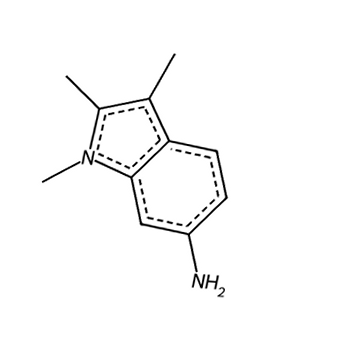 Cc1c(C)n(C)c2cc(N)ccc12